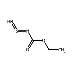 CCOC(=O)N=S=N